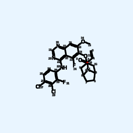 C=CC(=O)N1C2CCC1CC(Oc1c(OC)cc3ncnc(Nc4ccc(Cl)c(Cl)c4F)c3c1F)C2